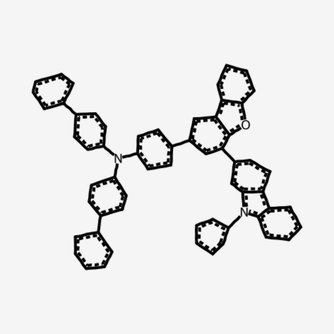 c1ccc(-c2ccc(N(c3ccc(-c4ccccc4)cc3)c3ccc(-c4cc(-c5ccc6c7ccccc7n(-c7ccccc7)c6c5)c5oc6ccccc6c5c4)cc3)cc2)cc1